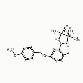 COc1ccc(COc2ccc(F)c(B3OC(C)(C)C(C)(C)O3)c2)cc1